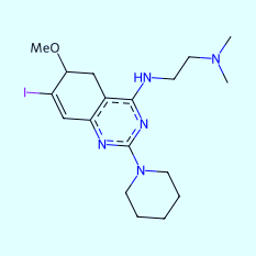 COC1Cc2c(nc(N3CCCCC3)nc2NCCN(C)C)C=C1I